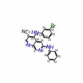 N#Cc1cnc2cnc(Nc3ccccc3)cc2c1Nc1cccc(Br)c1